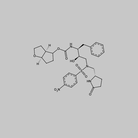 O=C1CC[C@@H](CN(C[C@@H](O)[C@H](Cc2ccccc2)NC(=O)OC2CC[C@H]3OCC[C@@H]23)S(=O)(=O)c2ccc([N+](=O)[O-])cc2)N1